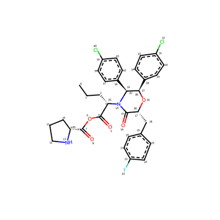 CCC[C@@H](C(=O)OC(=O)[C@H]1CCCN1)N1C(=O)[C@@H](Cc2ccc(F)cc2)O[C@H](c2ccc(Cl)cc2)[C@@H]1c1ccc(Cl)cc1